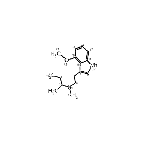 CCC(C)N(C)CCc1c[nH]c2cccc(OC)c12